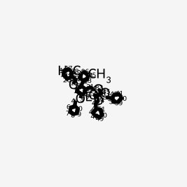 CCc1c(OCc2ccccc2)cc(OCc2ccccc2)c(-c2cc(C)cc(C)c2)c1CC1O[C@H](OCc2ccccc2)[C@@H](OCc2ccccc2)O1